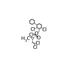 CC1(C)[C@H](C=C(Cl)Cl)[C@H]1C(=O)OCc1c(Cl)ccc(-c2ccccc2)c1Cl